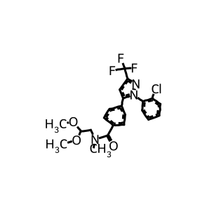 COC(CN(C)C(=O)c1ccc(-c2cc(C(F)(F)F)nn2-c2ccccc2Cl)cc1)OC